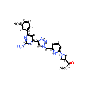 COC(=O)C1CN(c2cccc(Cn3cc(-c4cc(-c5cccc(C#N)c5)nc(N)n4)nn3)n2)C1